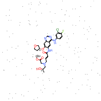 C[C@@H](O)CN(CC=CC(=O)Nc1cc2c(Nc3ccc(F)c(Cl)c3)ncnc2cc1O[C@@H]1CCOC1)CC(=O)OC(C)(C)C